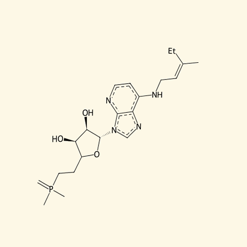 C=P(C)(C)CCC1O[C@@H](n2cnc3c(NC/C=C(/C)CC)ccnc32)[C@H](O)[C@@H]1O